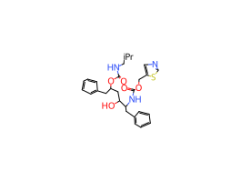 CC(C)CNC(=O)OC(Cc1ccccc1)CC(O)C(Cc1ccccc1)NC(=O)OCc1cncs1